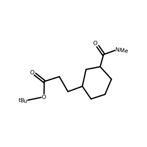 CNC(=O)C1CCCC(CCC(=O)OC(C)(C)C)C1